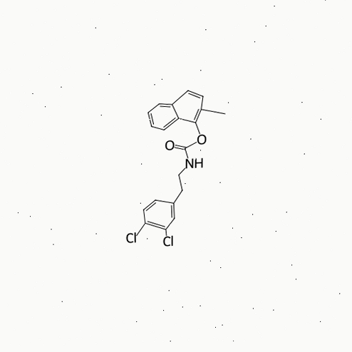 Cc1ccc2ccccc2c1OC(=O)NCCc1ccc(Cl)c(Cl)c1